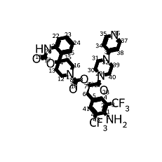 Nc1c(C(F)(F)F)cc(C[C@@H](OC(=O)N2CCC3(CC2)OC(=O)Nc2ccccc23)C(=O)N2CCN(c3ccncc3)CC2)cc1C(F)(F)F